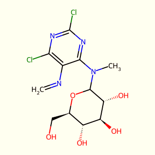 C=Nc1c(Cl)nc(Cl)nc1N(C)C1O[C@H](CO)[C@@H](O)[C@H](O)[C@H]1O